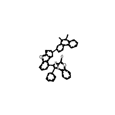 Cc1c(C)c2cc(-c3ccc4oc5cccc(-c6nc7c(=O)oc8ccccc8n7c6-c6ccccc6)c5c4c3)ccc2c2ccccc12